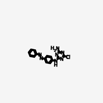 Nc1nc(Cl)nc(Nc2ccc(N=Nc3ccccc3)cc2)n1